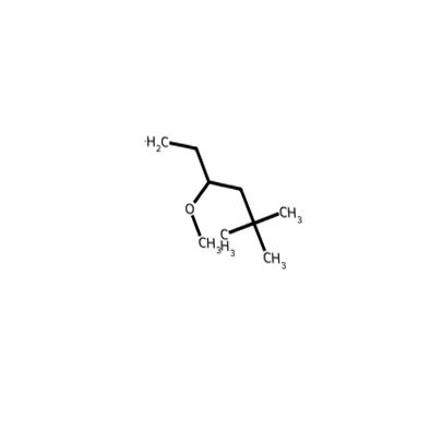 [CH2]CC(CC(C)(C)C)OC